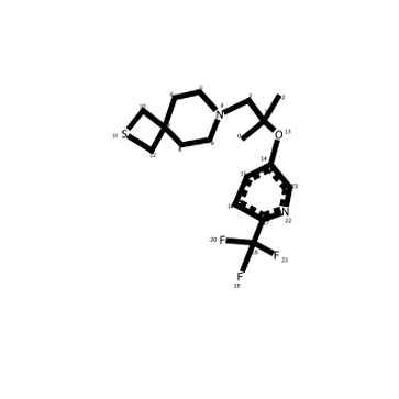 CC(C)(CN1CCC2(CC1)CSC2)Oc1ccc(C(F)(F)F)nc1